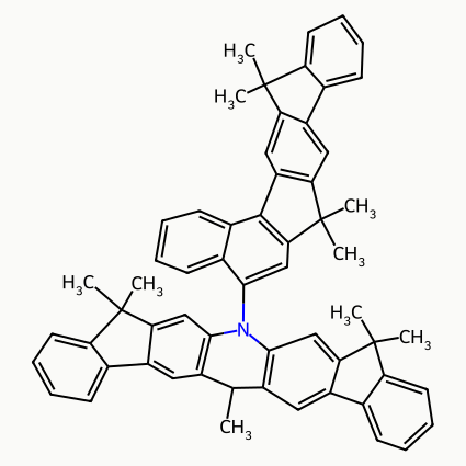 CC1c2cc3c(cc2N(c2cc4c(c5ccccc25)-c2cc5c(cc2C4(C)C)-c2ccccc2C5(C)C)c2cc4c(cc21)-c1ccccc1C4(C)C)C(C)(C)c1ccccc1-3